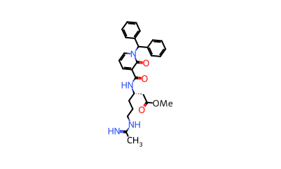 COC(=O)C[C@H](CCCNC(C)=N)NC(=O)c1cccn(C(c2ccccc2)c2ccccc2)c1=O